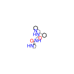 O=C(CNC(=O)[C@H]1CCCN1)NC(Cc1ccccn1)c1ccccc1